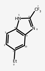 CCc1ccc2[nH]c(C(F)(F)F)nc2c1